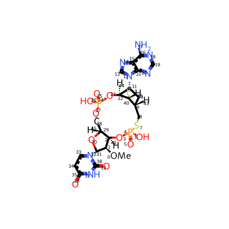 CO[C@@H]1[C@@H]2OP(=O)(O)SC[C@H]3C[C@@H](n4cnc5c(N)ncnc54)[C@H](OP(=O)(O)OC[C@H]2O[C@H]1n1ccc(=O)[nH]c1=O)[C@@H]3F